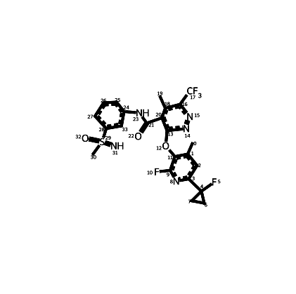 Cc1cc(C2(F)CC2)nc(F)c1Oc1nnc(C(F)(F)F)c(C)c1C(=O)Nc1cccc(S(C)(=N)=O)c1